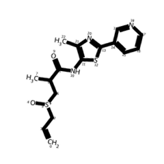 C=CC[S+]([O-])CC(C)C(=O)Nc1sc(-c2cccnc2)nc1C